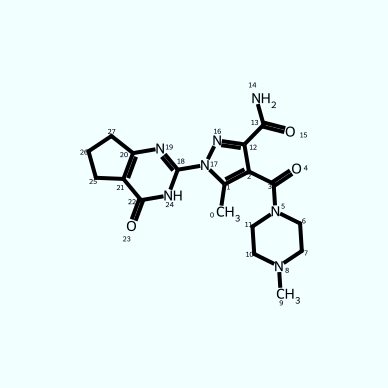 Cc1c(C(=O)N2CCN(C)CC2)c(C(N)=O)nn1-c1nc2c(c(=O)[nH]1)CCC2